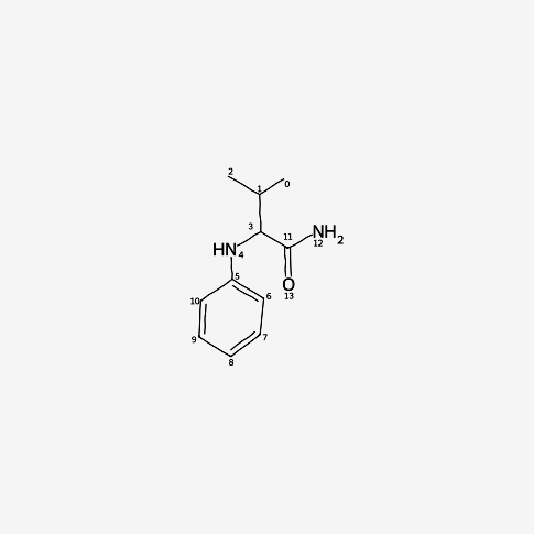 CC(C)C(Nc1ccccc1)C(N)=O